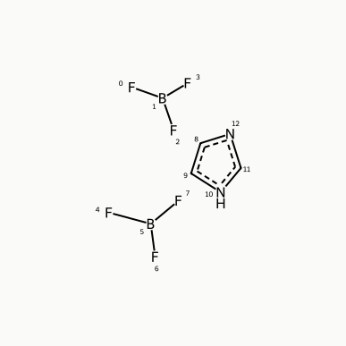 FB(F)F.FB(F)F.c1c[nH]cn1